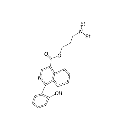 CCN(CC)CCCOC(=O)c1cnc(-c2ccccc2O)c2ccccc12